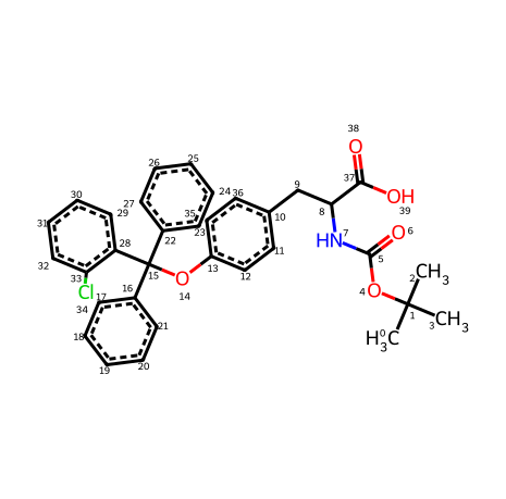 CC(C)(C)OC(=O)NC(Cc1ccc(OC(c2ccccc2)(c2ccccc2)c2ccccc2Cl)cc1)C(=O)O